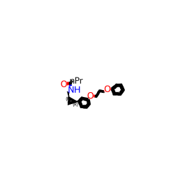 CCCC(=O)NC[C@@H]1C[C@H]1c1cccc(OCCCOc2ccccc2)c1